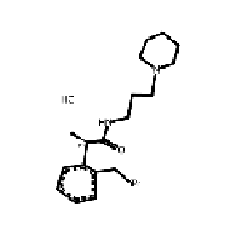 CC(C)Cc1ccccc1[C@@H](C)C(=O)NCCCN1CCCCC1.Cl